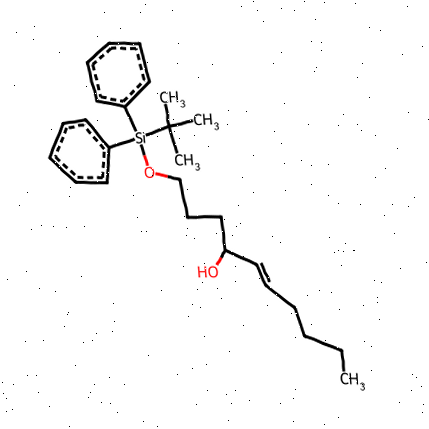 CCCC/C=C/C(O)CCCO[Si](c1ccccc1)(c1ccccc1)C(C)(C)C